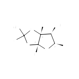 CCCCC1(CCC)O[C@H]2O[C@H](CCC)[C@H](O)[C@H]2O1